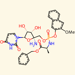 COc1cc2ccccc2cc1OP(=O)(N[C@@H](C)C(=O)OCc1ccccc1)OC[C@@]1(N)O[C@@H](n2ccc(=O)[nH]c2=O)[C@H](O)[C@@H]1O